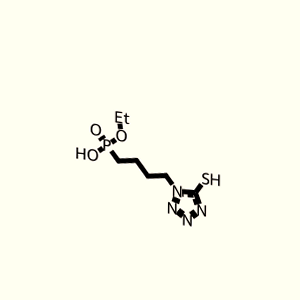 CCOP(=O)(O)CCCCn1nnnc1S